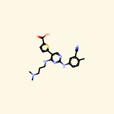 Cc1ccc(Nc2ncc(-c3ccc(C(=O)O)s3)c(NCCCN(C)C)n2)cc1C#N